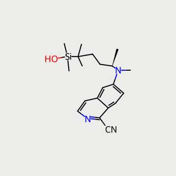 C[C@H](CCC(C)(C)[Si](C)(C)O)N(C)c1ccc2c(C#N)nccc2c1